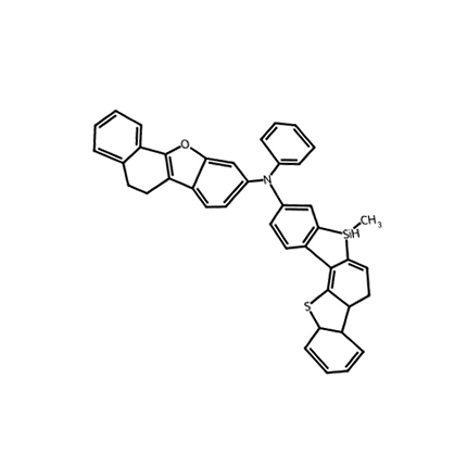 C[SiH]1C2=CCC3C(=C2c2ccc(N(c4ccccc4)c4ccc5c6c(oc5c4)-c4ccccc4CC6)cc21)SC1C=CC=CC13